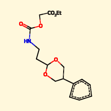 CCOC(=O)COC(=O)NCCC1OCC(c2ccccc2)CO1